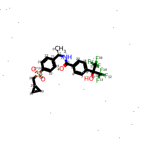 C[C@H](NC(=O)c1ccc(C(O)(C(F)(F)F)C(F)(F)F)cc1)c1ccc(S(=O)(=O)CC2CC2)cc1